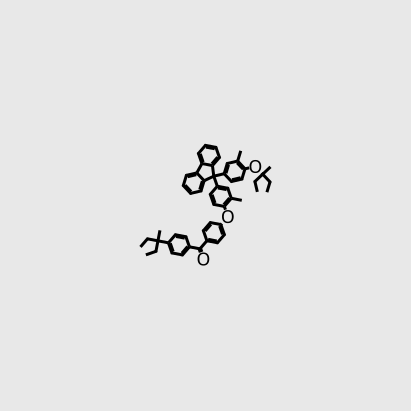 CCC(C)(CC)Oc1ccc(C2(c3ccc(Oc4ccc(C(=O)c5ccc(C(C)(CC)CC)cc5)cc4)c(C)c3)c3ccccc3-c3ccccc32)cc1C